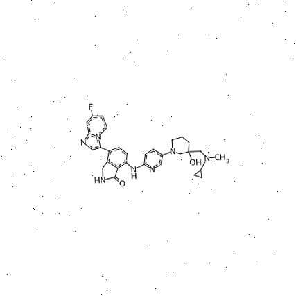 CN(CC1(O)CCCN(c2ccc(Nc3ccc(-c4cnc5cc(F)ccn45)c4c3C(=O)NC4)nc2)C1)C1CC1